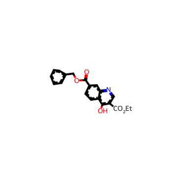 CCOC(=O)c1cnc2cc(C(=O)OCc3ccccc3)ccc2c1O